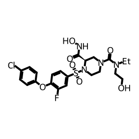 CCN(CCO)C(=O)N1CCN(S(=O)(=O)c2ccc(Oc3ccc(Cl)cc3)c(F)c2)[C@@H](C(=O)NO)C1